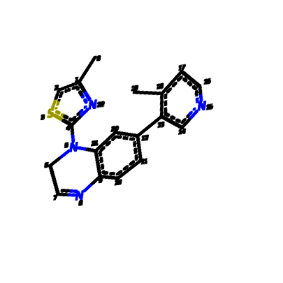 Cc1csc(N2CC=Nc3ccc(-c4cnccc4C)cc32)n1